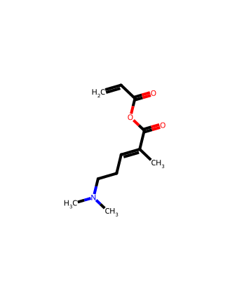 C=CC(=O)OC(=O)C(C)=CCCN(C)C